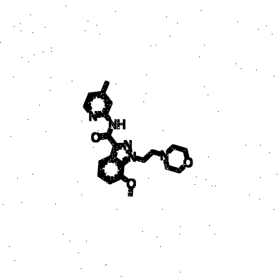 COc1cccc2c(C(=O)Nc3cc(C)ccn3)nn(CCN3CCOCC3)c12